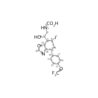 O=C(O)NCC(O)c1c(I)cc(-c2ccc(OC(F)(F)F)cc2)c2ncoc12